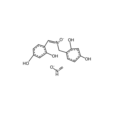 C=[NH+][O-].[O-]/[N+](=C/c1ccc(O)cc1O)Cc1ccc(O)cc1O